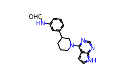 O=CNc1cccc(C2CCCN(c3ncnc4[nH]ccc34)C2)c1